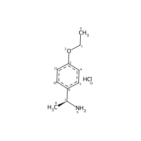 CCOc1ccc([C@H](C)N)cc1.Cl